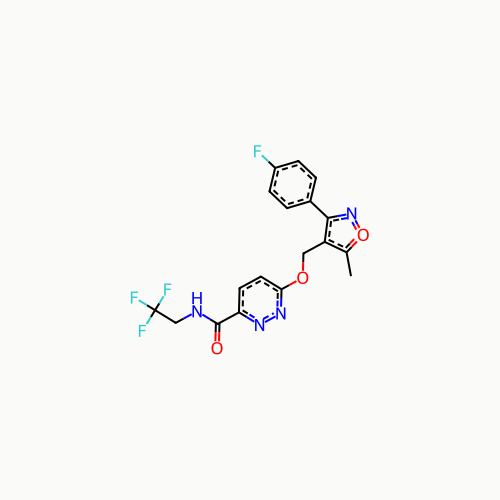 Cc1onc(-c2ccc(F)cc2)c1COc1ccc(C(=O)NCC(F)(F)F)nn1